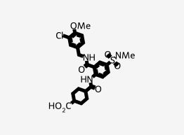 CNS(=O)(=O)c1ccc(NC(=O)C2CCC(C(=O)O)CC2)c(C(=O)NCc2ccc(OC)c(Cl)c2)c1